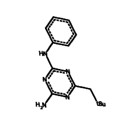 CC(C)(C)Cc1nc(N)nc(Nc2ccccc2)n1